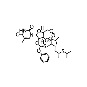 Cc1cn([C@@H]2O[C@H]3COO[Si](C(C)C)(C(C)CCC(C)SC(C)C)O[C@@H]3[C@H]2OC(=S)Oc2ccccc2)c(=O)[nH]c1=O